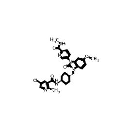 CNC(=O)c1ccc(-n2c(=O)n(C[C@H]3CC[C@H](NC(=O)c4cc(Cl)cnc4C)CC3)c3ccc(OC)cc32)cn1